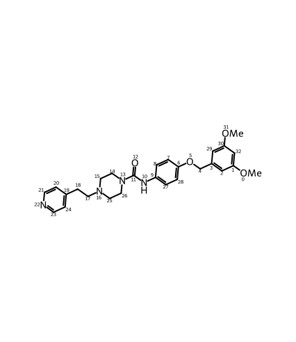 COc1cc(COc2ccc(NC(=O)N3CCN(CCc4ccncc4)CC3)cc2)cc(OC)c1